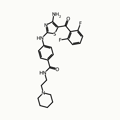 Nc1nc(Nc2ccc(C(=O)NCCN3CCCCC3)cc2)sc1C(=O)c1c(F)cccc1F